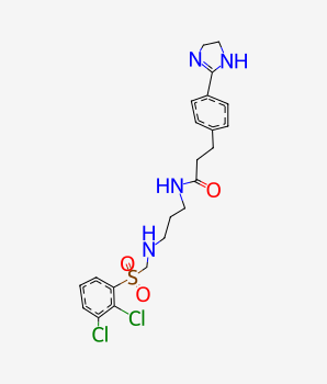 O=C(CCc1ccc(C2=NCCN2)cc1)NCCCNCS(=O)(=O)c1cccc(Cl)c1Cl